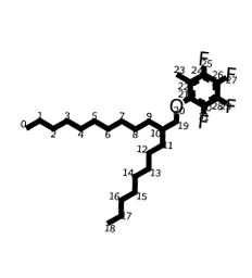 CCCCCCCCCCC(CCCCCCCC)COc1c(C)c(F)c(F)c(F)c1F